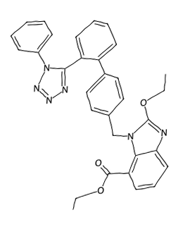 CCOC(=O)c1cccc2nc(OCC)n(Cc3ccc(-c4ccccc4-c4nnnn4-c4ccccc4)cc3)c12